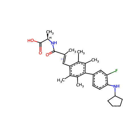 C/C(=C\c1c(C)c(C)c(-c2ccc(NC3CCCC3)c(F)c2)c(C)c1C)C(=O)N[C@H](C)C(=O)O